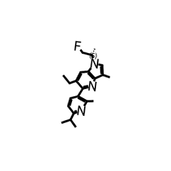 CCc1cc2c(nc1-c1ccc(C(C)C)nc1C)c(C)cn2[C@@H](C)CF